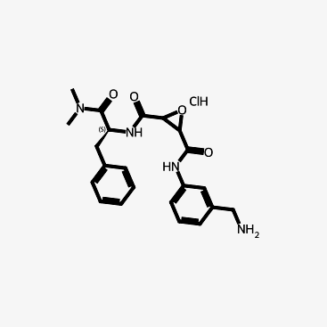 CN(C)C(=O)[C@H](Cc1ccccc1)NC(=O)C1OC1C(=O)Nc1cccc(CN)c1.Cl